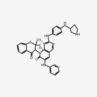 CC1(C)Sc2ccccc2C(=O)C1n1c(=O)c(Nc2cccnc2)cc2cnc(Nc3ccc(NC4CCNC4)cc3)nc21